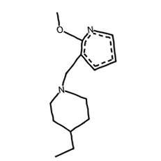 CCC1CCN(Cc2cccnc2OC)CC1